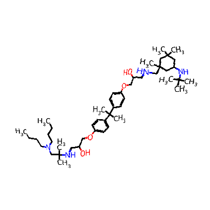 CCCCN(CCCC)CC(C)(C)NCC(O)COc1ccc(C(C)(C)c2ccc(OCC(O)CNCC3(C)CC(NC(C)(C)C)CC(C)(C)C3)cc2)cc1